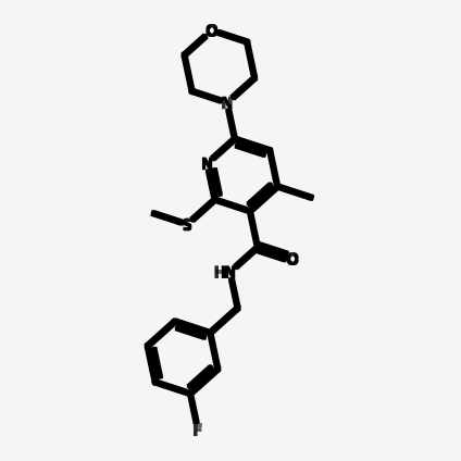 CSc1nc(N2CCOCC2)cc(C)c1C(=O)NCc1cccc(F)c1